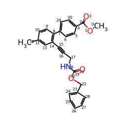 COC(=O)c1ccc(-c2ccc(C)cc2C#CCNC(=O)OCc2ccccc2)cc1